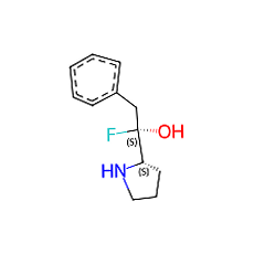 O[C@](F)(Cc1ccccc1)[C@@H]1CCCN1